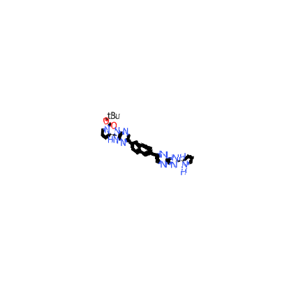 CC(C)(C)OC(=O)N1CCC[C@H]1c1nc2ncc(-c3ccc4cc(-c5cnc6nc([C@@H]7CCCN7)[nH]c6n5)ccc4c3)nc2[nH]1